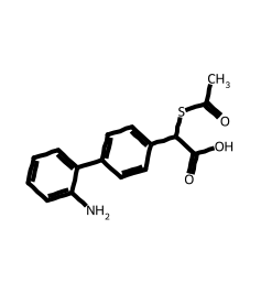 CC(=O)SC(C(=O)O)c1ccc(-c2ccccc2N)cc1